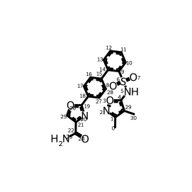 Cc1noc(NS(=O)(=O)c2ccccc2-c2ccc(-c3nc(C(N)=O)co3)cc2)c1C